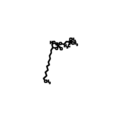 CCCCCCCCCCCCC(CO)OP(=O)([O-])OCC[N+](C)(C)C